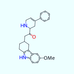 COc1ccc2[nH]c3c(c2c1)CC(CC(=O)C1CC(c2ccccc2)=CCN1)CC3